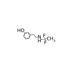 CC(F)(F)CNCCc1cccc(O)c1